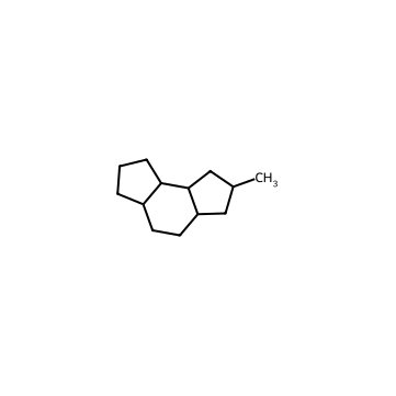 CC1CC2CCC3CCCC3C2C1